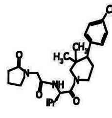 CC(C)[C@@H](NC(=O)CN1CCCC1=O)C(=O)N1CCC(c2ccc(Cl)cc2)C(C)(C)C1